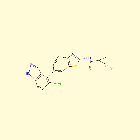 O=C(Nc1nc2ccc(-c3c(Cl)ccc4[nH]ncc34)cc2s1)C1C[C@@H]1F